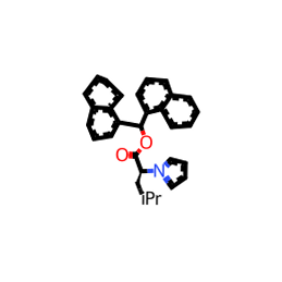 CC(C)C[C@@H](C(=O)OC(c1cccc2ccccc12)c1cccc2ccccc12)n1cccc1